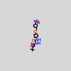 CC(C)(C)c1cc(NC(=O)Nc2ccc(OCc3ccc4nonc4c3)cc2)no1